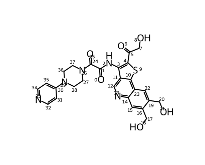 O=C(Nc1c(C(=O)CO)sc2c1cnc1cc(CO)c(CO)cc12)C(=O)N1CCN(c2ccncc2)CC1